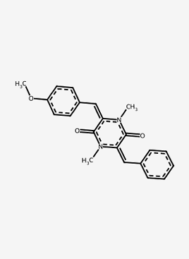 COc1ccc(C=c2c(=O)n(C)c(=Cc3ccccc3)c(=O)n2C)cc1